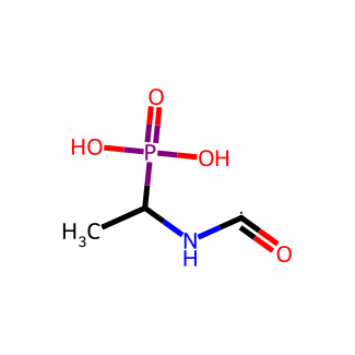 CC(N[C]=O)P(=O)(O)O